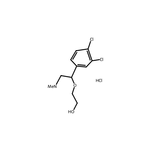 CNCC(OCCO)c1ccc(Cl)c(Cl)c1.Cl